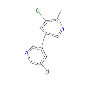 Cc1ncc(-c2cncc(Cl)c2)cc1Cl